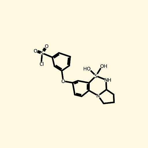 O=S(=O)(Cl)c1cccc(Oc2ccc3c(c2)S(O)(O)NC2CCCN32)c1